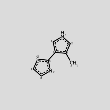 Cc1c[nH]cc1-c1nccs1